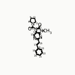 Cn1c(=O)n(C(=O)N2CCCC2)c2cnc(C=Cc3ccccc3)nc21